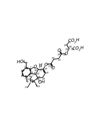 Cc1ccc(CO)c2c1[C@]13CCN(C)[C@H](C)[C@]1(O)CC=C(OC(=O)CCC(=O)O[C@H](CC(=O)O)C(=O)O)[C@@H]3O2